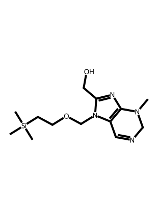 CN1CN=Cc2c1nc(CO)n2COCC[Si](C)(C)C